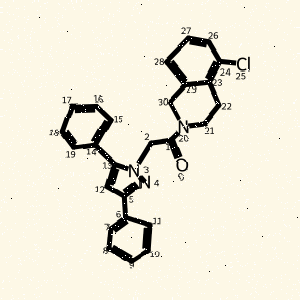 O=C(Cn1nc(-c2ccccc2)cc1-c1ccccc1)N1CCc2c(Cl)cccc2C1